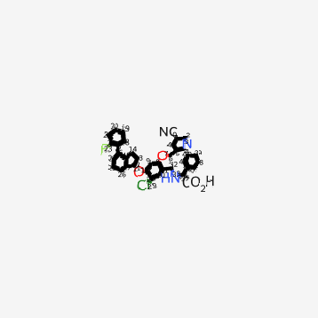 N#Cc1cncc(COc2cc(O[C@H]3CCc4c(-c5ccccc5F)cccc43)c(Cl)cc2CN[C@H](C(=O)O)c2ccccc2)c1